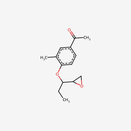 CCC(Oc1ccc(C(C)=O)cc1C)C1CO1